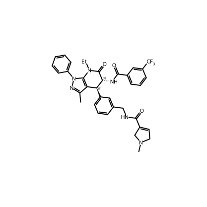 CCN1C(=O)[C@H](NC(=O)c2cccc(C(F)(F)F)c2)[C@@H](c2cccc(CNC(=O)C3=CCN(C)C3)c2)c2c(C)nn(-c3ccccc3)c21